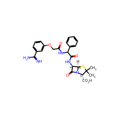 CC1(C)S[C@@H]2[C@H](NC(=O)C(NC(=O)COc3cccc(C(=N)N)c3)c3ccccc3)C(=O)N2[C@H]1C(=O)O